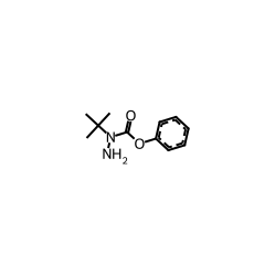 CC(C)(C)N(N)C(=O)Oc1ccccc1